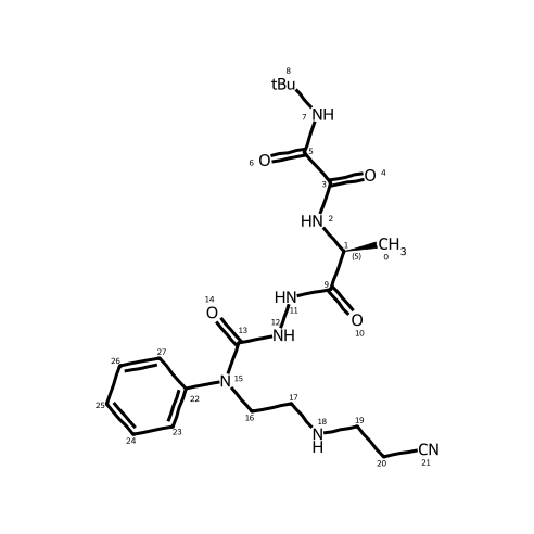 C[C@H](NC(=O)C(=O)NC(C)(C)C)C(=O)NNC(=O)N(CCNCCC#N)c1ccccc1